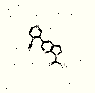 N#Cc1ccncc1-c1cnc2c(c1)CCN2C(N)=O